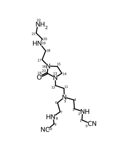 N#CCNCCN(CCNCC#N)CCN1CCN(CCNCCN)C1=O